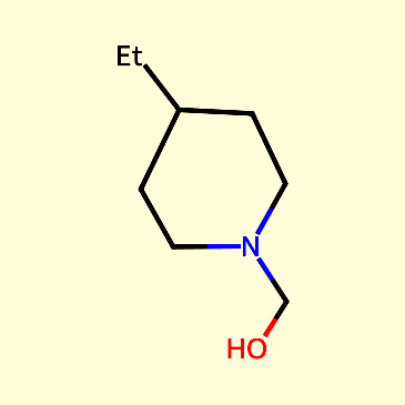 CCC1CCN(CO)CC1